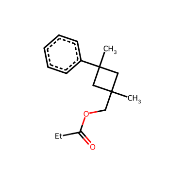 CCC(=O)OCC1(C)CC(C)(c2ccccc2)C1